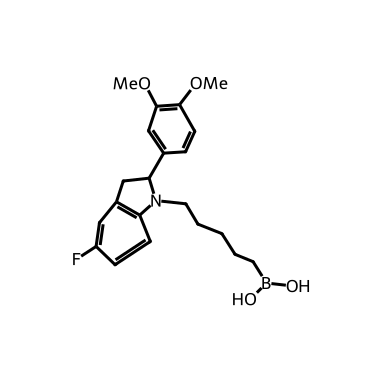 COc1ccc(C2Cc3cc(F)ccc3N2CCCCCB(O)O)cc1OC